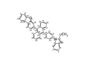 CCc1nc2ccccc2n1-c1ccc(-c2c3ccccc3c(-c3ccc4c(c3)oc3ccccc34)c3ccccc23)cc1